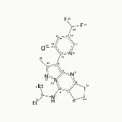 CCC(CC)Nc1c2c(nc3c(-c4ncc(C(F)F)cc4Cl)c(C)nn13)CCC2